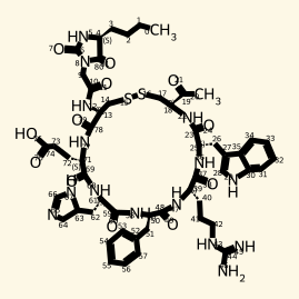 CCCC[C@@H]1NC(=O)N(CC(=O)N[C@H]2CSSC[C@@H](C(C)=O)NC(=O)[C@H](Cc3c[nH]c4ccccc34)NC(=O)[C@H](CCCNC(=N)N)NC(=O)[C@@H](Cc3ccccc3)NC(=O)[C@H](CC3CN=CN3)NC(=O)[C@H](CCC(=O)O)NC2=O)C1=O